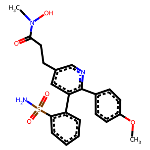 COc1ccc(-c2ncc(CCC(=O)N(C)O)cc2-c2ccccc2S(N)(=O)=O)cc1